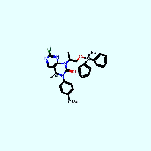 COc1ccc(N2C(=O)N(C(C)CO[Si](c3ccccc3)(c3ccccc3)C(C)(C)C)c3nc(Cl)ncc3[C@@H]2C)cc1